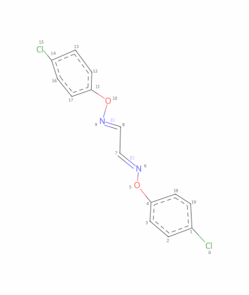 Clc1ccc(O/N=C/C=N/Oc2ccc(Cl)cc2)cc1